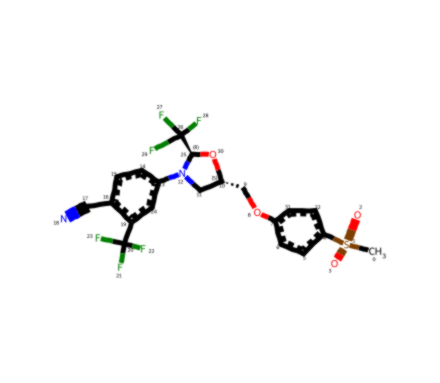 CS(=O)(=O)c1ccc(OC[C@@H]2CN(c3ccc(C#N)c(C(F)(F)F)c3)[C@@H](C(F)(F)F)O2)cc1